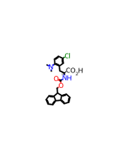 CN(C)c1ccc(Cl)cc1C[C@H](NC(=O)OCC1c2ccccc2-c2ccccc21)C(=O)O